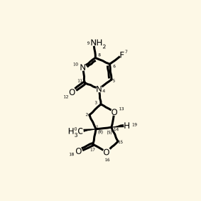 C[C@@]12CC(n3cc(F)c(N)nc3=O)O[C@@H]1COC2=O